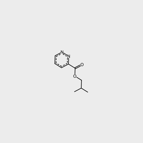 CC(C)COC(=O)c1cccnn1